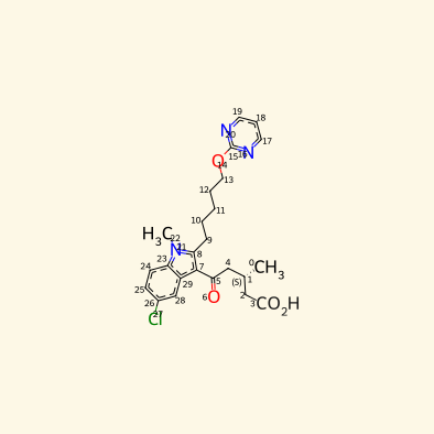 C[C@H](CC(=O)O)CC(=O)c1c(CCCCCOc2ncccn2)n(C)c2ccc(Cl)cc12